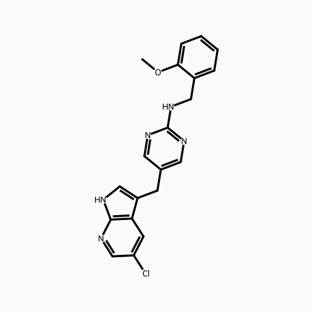 COc1ccccc1CNc1ncc(Cc2c[nH]c3ncc(Cl)cc23)cn1